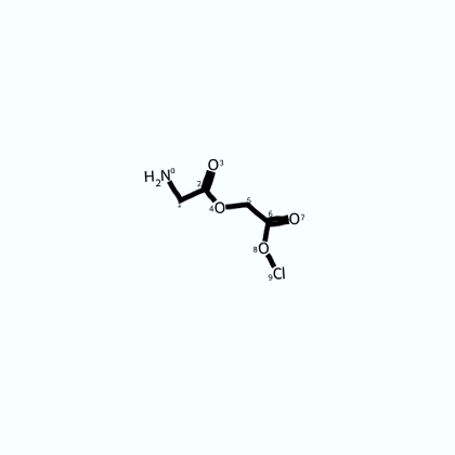 NCC(=O)OCC(=O)OCl